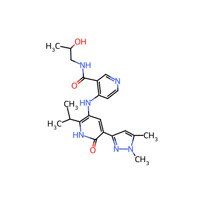 Cc1cc(-c2cc(Nc3ccncc3C(=O)NCC(C)O)c(C(C)C)[nH]c2=O)nn1C